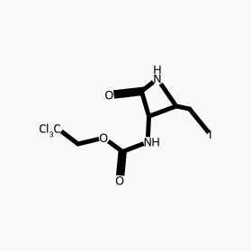 O=C(NC1C(=O)NC1CI)OCC(Cl)(Cl)Cl